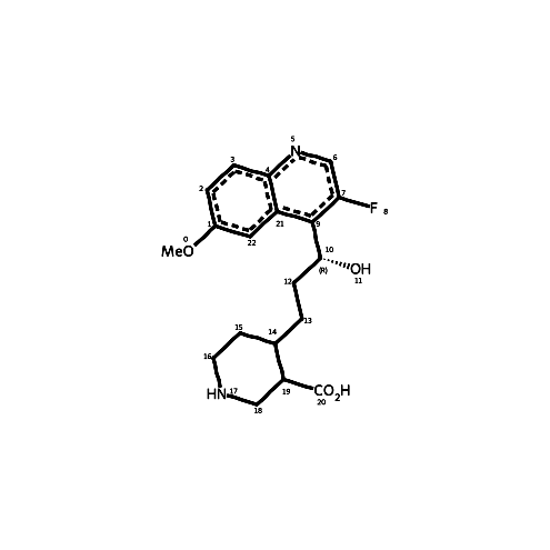 COc1ccc2ncc(F)c([C@H](O)CCC3CCNCC3C(=O)O)c2c1